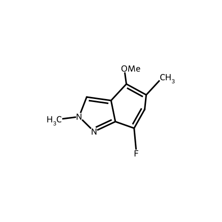 COc1c(C)cc(F)c2nn(C)cc12